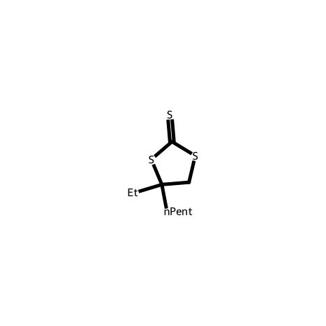 CCCCCC1(CC)CSC(=S)S1